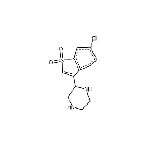 O=S1(=O)C=C(C2CNCCN2)c2ccc(Cl)cc21